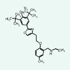 CCNCc1cc(C)ccc1OCCc1coc(-c2cc(C(C)(C)C)c(O)c(C(C)(C)C)c2)n1